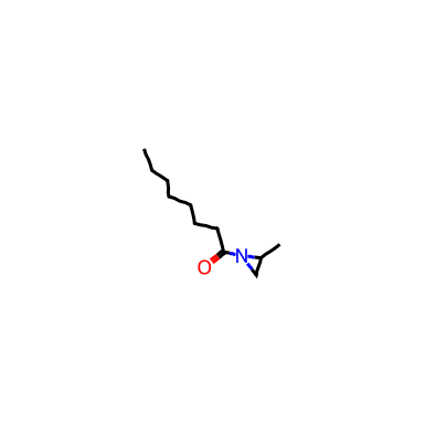 CCCCCCCC(=O)N1CC1C